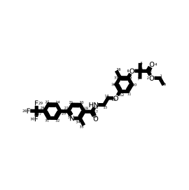 CCOC(=O)C(C)(C)Oc1ccc(OCCNC(=O)c2ccc(-c3ccc(C(F)(F)F)cc3)nc2C)cc1C